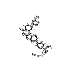 B[SH](=O)(CCOC)c1ccc(-c2ccc3nc(OC(C)C4CCN(c5nc(C(C)C)no5)CC4)sc3n2)cc1